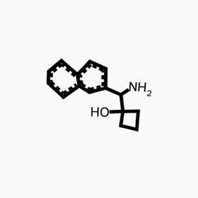 NC(c1ccc2ccccc2c1)C1(O)CCC1